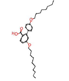 CCCCCCCCCCOc1ccc(C(=O)O)c(-c2ccc(OCCCCCCCC)cc2)c1